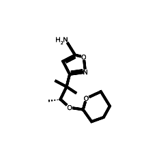 C[C@@H](OC1CCCCO1)C(C)(C)c1cc(N)on1